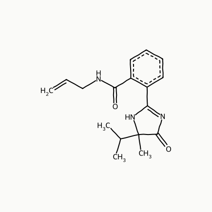 C=CCNC(=O)c1ccccc1C1=NC(=O)C(C)(C(C)C)N1